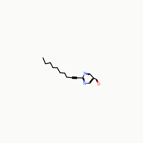 CCCCCCCCC#Cc1ncc(C=O)cn1